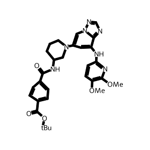 COc1ccc(Nc2cc(N3CCCC(NC(=O)c4ccc(C(=O)OC(C)(C)C)cc4)C3)cn3ncnc23)nc1OC